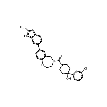 Cc1nc2ccc(-c3ccc4c(c3)CN(C(=O)N3CCC(O)(c5cccc(Cl)c5)CC3)CCO4)cc2[nH]1